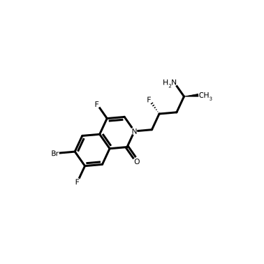 C[C@H](N)C[C@@H](F)Cn1cc(F)c2cc(Br)c(F)cc2c1=O